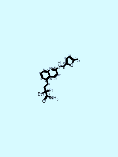 CCC(CC)(CCc1cccc2nc(NCc3ccc(C)o3)ccc12)C(N)=O